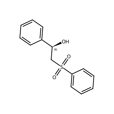 O=S(=O)(C[C@H](O)c1ccccc1)c1ccccc1